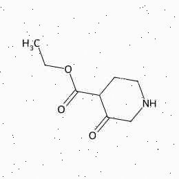 CCOC(=O)C1CCNCC1=O